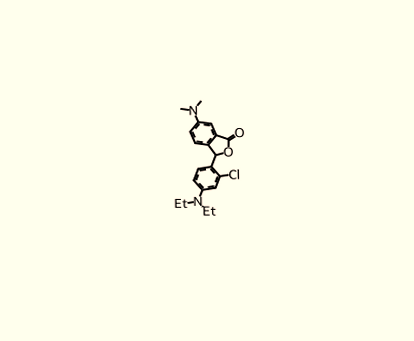 CCN(CC)c1ccc(C2OC(=O)c3cc(N(C)C)ccc32)c(Cl)c1